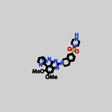 COc1cc2nc(N3CCc4ccc(S(=O)(=O)N5CCNCC5)cc4C3)nc(N)c2c(-c2ccccn2)c1OC